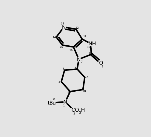 CC(C)(C)N(C(=O)O)C1CCC(n2c(=O)[nH]c3cnccc32)CC1